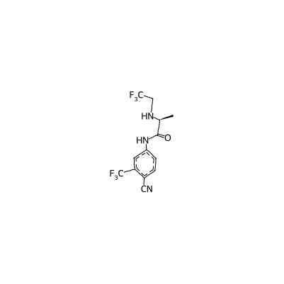 C[C@H](NCC(F)(F)F)C(=O)Nc1ccc(C#N)c(C(F)(F)F)c1